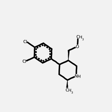 COC[C@H]1CN[C@@H](C)CC1c1ccc(Cl)c(Cl)c1